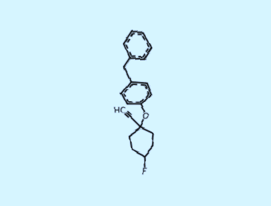 C#CC1(Oc2ccc(Cc3ccccc3)cc2)CCC(F)CC1